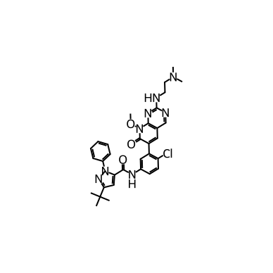 COn1c(=O)c(-c2cc(NC(=O)c3cc(C(C)(C)C)nn3-c3ccccc3)ccc2Cl)cc2cnc(NCCN(C)C)nc21